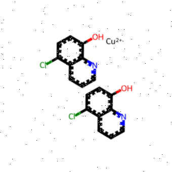 Oc1ccc(Cl)c2cccnc12.Oc1ccc(Cl)c2cccnc12.[Cu+2]